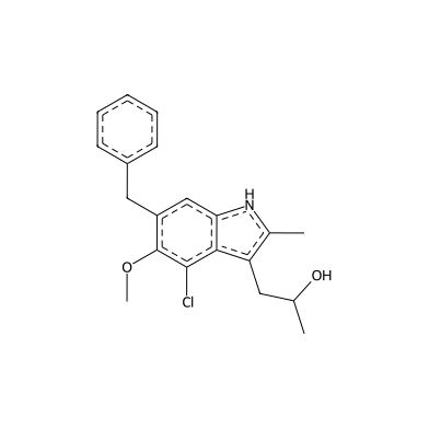 COc1c(Cc2ccccc2)cc2[nH]c(C)c(CC(C)O)c2c1Cl